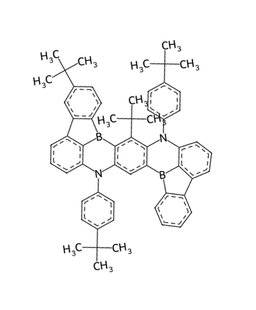 CC(C)(C)c1ccc(N2c3cccc4c3B(c3ccc(C(C)(C)C)cc3-4)c3c2cc2c(c3C(C)(C)C)N(c3ccc(C(C)(C)C)cc3)c3cccc4c3B2c2ccccc2-4)cc1